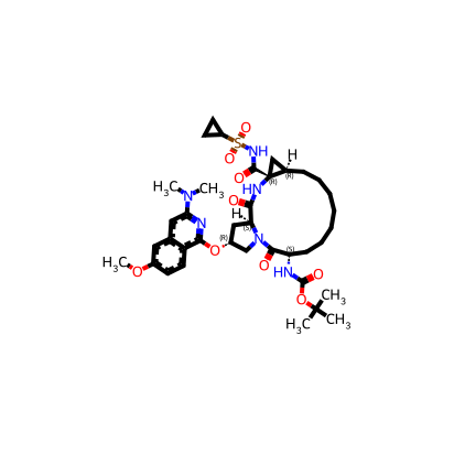 COc1ccc2c(O[C@@H]3C[C@H]4C(=O)N[C@]5(C(=O)NS(=O)(=O)C6CC6)C[C@H]5CCCCCCC[C@H](NC(=O)OC(C)(C)C)C(=O)N4C3)nc(N(C)C)cc2c1